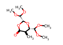 C=C1C(=O)O[C@H](C(OC)OC)O[C@@H]1C(OC)OC